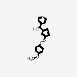 COc1ccc(COc2cccc(C(O)c3ccncc3)c2)cc1